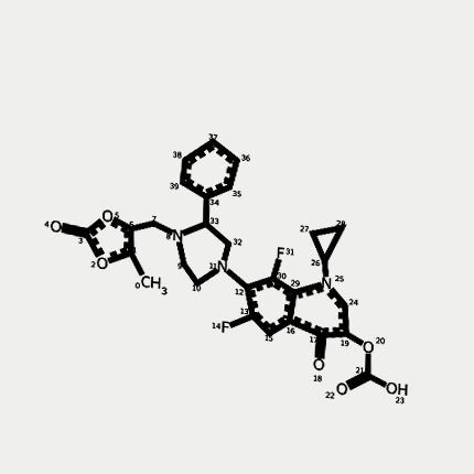 Cc1oc(=O)oc1CN1CCN(c2c(F)cc3c(=O)c(OC(=O)O)cn(C4CC4)c3c2F)CC1c1ccccc1